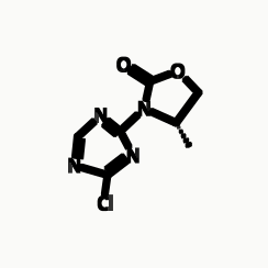 C[C@H]1COC(=O)N1c1ncnc(Cl)n1